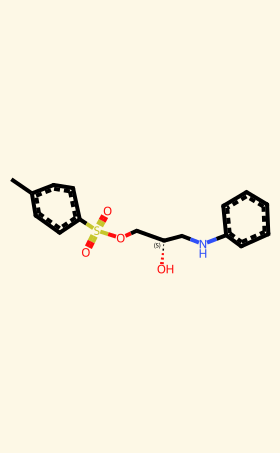 Cc1ccc(S(=O)(=O)OC[C@@H](O)CNc2ccccc2)cc1